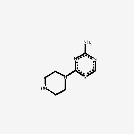 Nc1ncnc(N2CCNCC2)n1